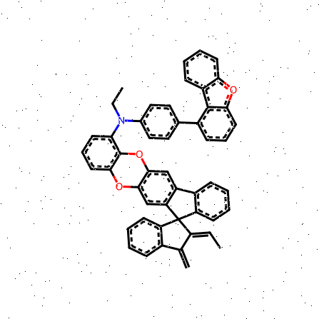 C=C1/C(=C\C)C2(c3ccccc31)c1ccccc1-c1cc3c(cc12)Oc1cccc(N(CC)c2ccc(-c4cccc5oc6ccccc6c45)cc2)c1O3